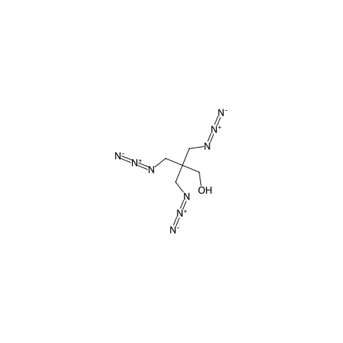 [N-]=[N+]=NCC(CO)(CN=[N+]=[N-])CN=[N+]=[N-]